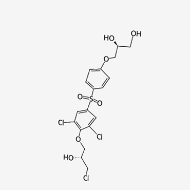 O=S(=O)(c1ccc(OC[C@@H](O)CO)cc1)c1cc(Cl)c(OC[C@@H](O)CCl)c(Cl)c1